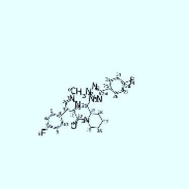 Cn1cc(-c2ccc(F)cc2)c(C(=O)N2CCCCC2Cn2nnc(-c3ccc(F)cc3)n2)n1